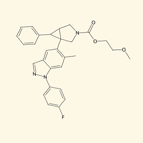 COCCOC(=O)N1CC2C(c3ccccc3)C2(c2cc3cnn(-c4ccc(F)cc4)c3cc2C)C1